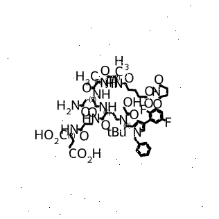 C[C@@H](NC(=O)CCCC(=O)ON1C(=O)CCC1=O)C(=O)N[C@H](C)C(=O)N[C@@H](CC(N)=O)C(=O)N[C@@H](CCN(C(=O)CO)[C@@H](c1cc(-c2cc(F)ccc2F)cn1Cc1ccccc1)C(C)(C)C)C(=O)NCCC(=O)N[C@H](CCC(=O)O)C(=O)O